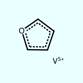 [V+5].c1ccoc1